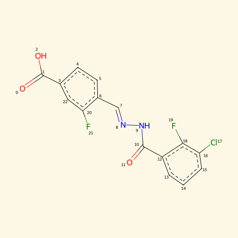 O=C(O)c1ccc(/C=N/NC(=O)c2cccc(Cl)c2F)c(F)c1